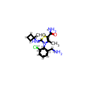 CC1=C(C(N)=O)SC(NC2(C=O)CCC2)N1c1c(Cl)cccc1CN